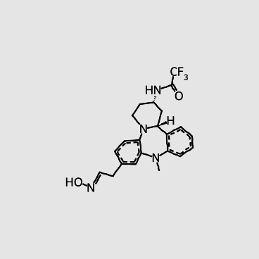 CN1c2ccccc2[C@H]2C[C@@H](NC(=O)C(F)(F)F)CCN2c2ccc(CC=NO)cc21